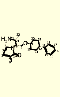 Cc1cccn([C@@H](CO[C@H]2CC[C@@H](c3ccccc3)CC2)[C@@H](C)N)c1=O